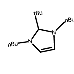 CCCCN1C=CN(CCCC)C1C(C)(C)C